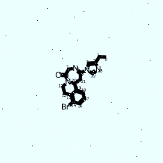 CCc1cn(C2=NCC(=O)N3CCc4c(Br)cccc4C3C2)cn1